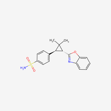 CC1(C)[C@H](c2ccc(S(N)(=O)=O)cc2)[C@H]1c1nc2ccccc2o1